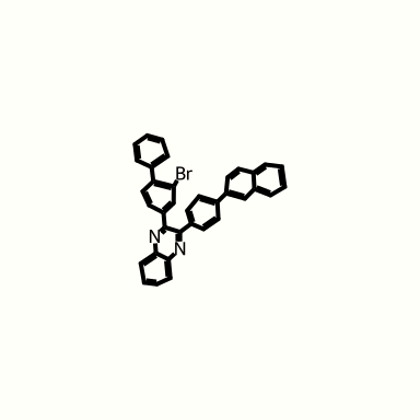 Brc1cc(-c2nc3ccccc3nc2-c2ccc(-c3ccc4ccccc4c3)cc2)ccc1-c1ccccc1